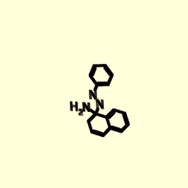 NC1(N=Nc2ccccc2)CC=Cc2ccccc21